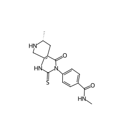 CNC(=O)c1ccc(-n2c(=S)[nH]c3c(c2=O)C[C@@H](C)NC3)cc1